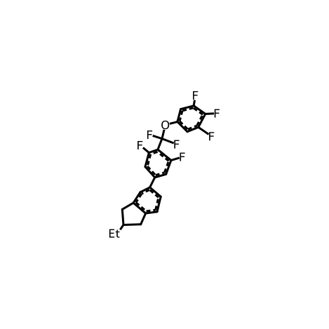 CCC1Cc2ccc(-c3cc(F)c(C(F)(F)Oc4cc(F)c(F)c(F)c4)c(F)c3)cc2C1